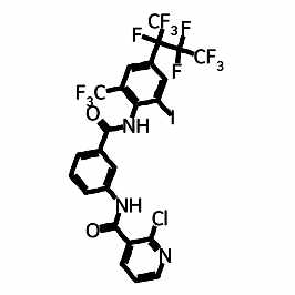 O=C(Nc1c(I)cc(C(F)(C(F)(F)F)C(F)(F)C(F)(F)F)cc1C(F)(F)F)c1cccc(NC(=O)c2cccnc2Cl)c1